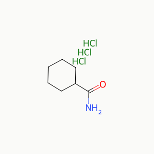 Cl.Cl.Cl.NC(=O)C1CCCCC1